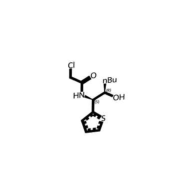 CCCC[C@@H](O)[C@H](NC(=O)CCl)c1cccs1